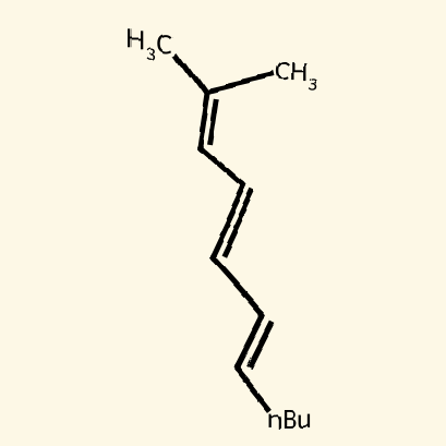 CCCCC=CC=CC=C(C)C